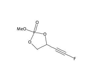 COP1(=O)OCC(C#CF)O1